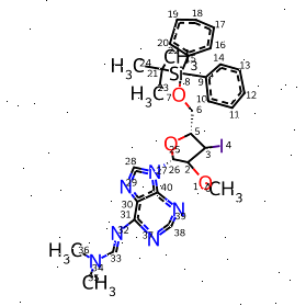 COC1C(I)[C@@H](CO[Si](c2ccccc2)(c2ccccc2)C(C)(C)C)O[C@H]1n1cnc2c(N=CN(C)C)ncnc21